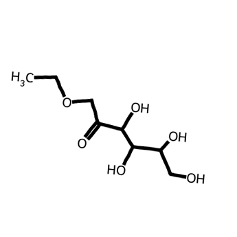 CCOCC(=O)C(O)C(O)C(O)CO